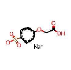 O=C(O)COc1ccc(S(=O)(=O)[O-])cc1.[Na+]